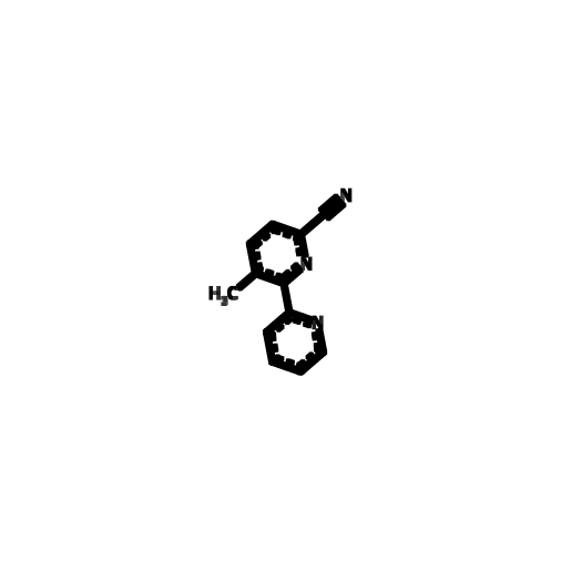 Cc1ccc(C#N)nc1-c1ccccn1